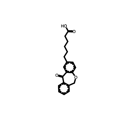 O=C(O)CCCCCc1ccc2c(c1)C(=O)c1ccccc1CO2